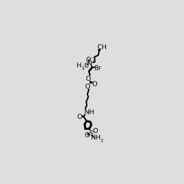 C#CCCC[N+](C)([O-])C(Br)=CCOC(=O)OCCCCCCNC(=O)c1ccc(S(N)(=O)=O)cc1